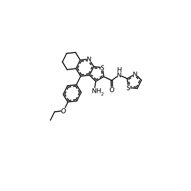 CCOc1ccc(-c2c3c(nc4sc(C(=O)Nc5nccs5)c(N)c24)CCCC3)cc1